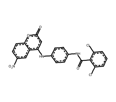 O=C(Nc1ccc(Nc2cc(=O)oc3ccc([N+](=O)[O-])cc23)cc1)c1c(Cl)cccc1Cl